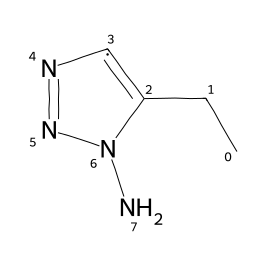 CCc1[c]nnn1N